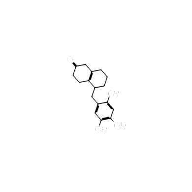 Cc1cc(O)c(O)cc1CC1CCCC2=C1CCC(=O)C2